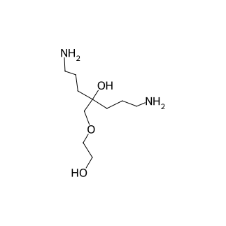 NCCCC(O)(CCCN)COCCO